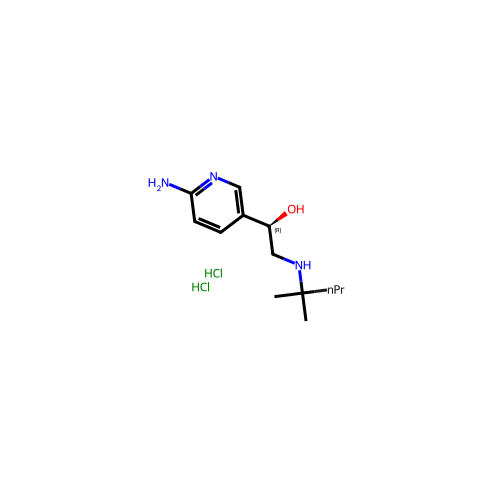 CCCC(C)(C)NC[C@H](O)c1ccc(N)nc1.Cl.Cl